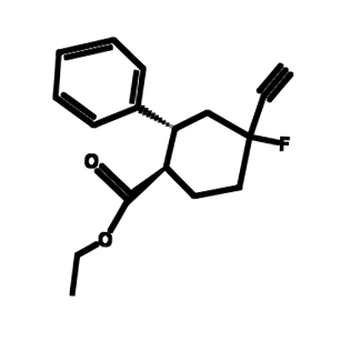 C#CC1(F)CC[C@@H](C(=O)OCC)[C@H](c2ccccc2)C1